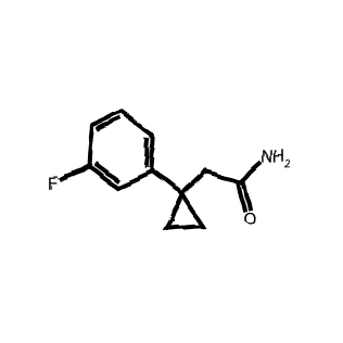 NC(=O)CC1(c2cccc(F)c2)CC1